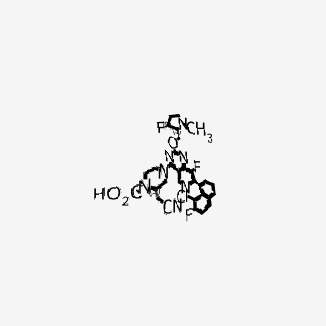 CN1CC[C@@H](F)[C@@H]1COc1nc(N2CCN(C(=O)O)[C@@H](CC#N)C2)c2cnc(-c3cccc4ccc(F)c(Cl)c34)c(F)c2n1